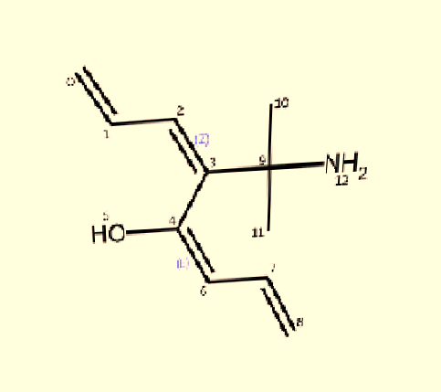 C=C/C=C(\C(O)=C/C=C)C(C)(C)N